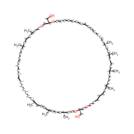 C[C@@H]1CCCCCCCCCCCCCC[C@@H](C)CCC[C@@H](C)CCOC[C@@H](CO)OCCCCCCCCCCCCCC[C@H](C)CC[C@@H](C)CCC[C@@H](C)CCC[C@@H](C)CCCCCCOC[C@@H](CO)OCC[C@H](C)CCC[C@H](C)CCC1